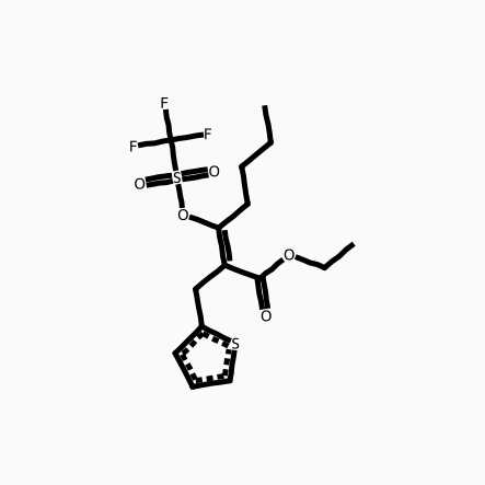 CCCCC(OS(=O)(=O)C(F)(F)F)=C(Cc1cccs1)C(=O)OCC